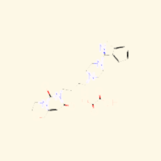 O=C(O)C(=O)O.O=c1cc2n(c(=O)n1CCCCN1CCN(c3nsc4ccccc34)CC1)CCOC2